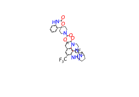 CN1C2CCC1CC(N1CCN(C(=O)[C@@H](Cc3cc(C(F)(F)F)c(N)c(C(F)(F)F)c3)OC(=O)N3CCC4(CC3)OC(=O)Nc3ccccc34)CC1)C2